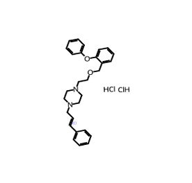 C(=C\c1ccccc1)/CN1CCN(CCOCc2ccccc2Oc2ccccc2)CC1.Cl.Cl